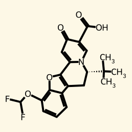 CC(C)(C)[C@@H]1Cc2c(oc3c(OC(F)F)cccc23)-c2cc(=O)c(C(=O)O)cn21